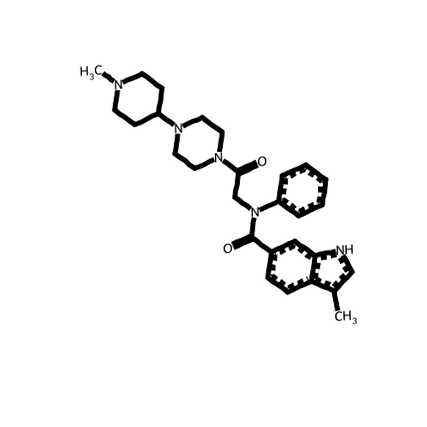 Cc1c[nH]c2cc(C(=O)N(CC(=O)N3CCN(C4CCN(C)CC4)CC3)c3ccccc3)ccc12